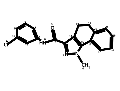 Cn1nc(C(=O)Nc2cccc(Cl)c2)c2c1-c1ccccc1CC2